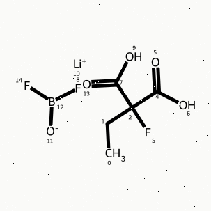 CCC(F)(C(=O)O)C(=O)O.[Li+].[O-]B(F)F